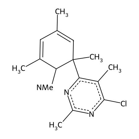 CNC1C(C)=CC(C)=CC1(C)c1nc(C)nc(Cl)c1C